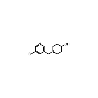 OC1CCN(Cc2cncc(Br)c2)CC1